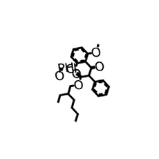 CCCCC(CC)COC(=O)C(C(=O)c1c(Cl)cccc1OC)c1ccccc1.O=[PH3]